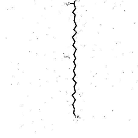 CCCCCCCCCCCCCCCCCCCCCCCCCCCC(C)C.N